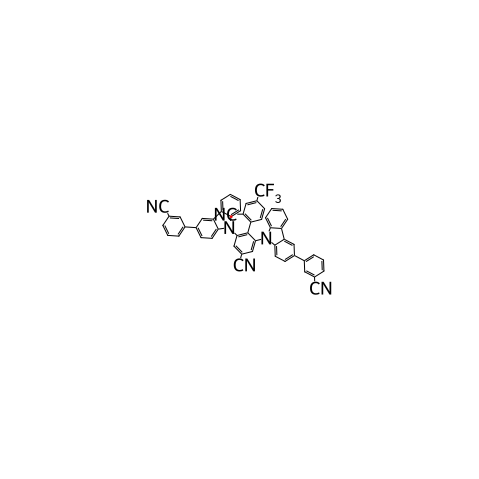 N#Cc1cccc(-c2ccc3c(c2)c2ccccc2n3-c2cc(C#N)cc(-n3c4ccccc4c4cc(-c5cccc(C#N)c5)ccc43)c2-c2ccc(C(F)(F)F)cc2C#N)c1